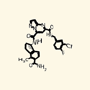 Cc1c(C(N)=O)ccc2c1CC[C@@H]2NC(=O)c1cc(C(=O)NCc2ccc(F)c(Cl)c2)nc2ccnn12